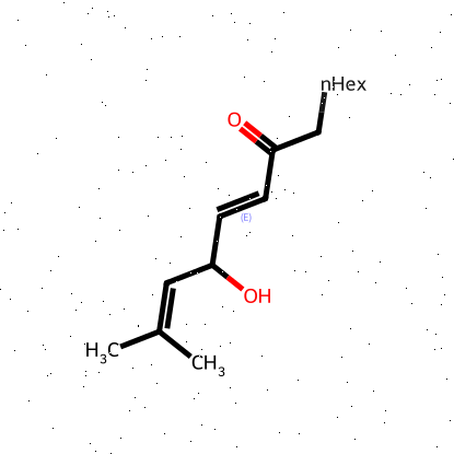 CCCCCCCC(=O)/C=C/C(O)C=C(C)C